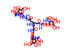 CNC(CCC(=O)NCNCOC1OC(CO)C(O)C(O)C1NC(C)=O)(CCC(=O)NCOCOC1OC(CO)C(O)C(O)C1NC(C)=O)CCC(=O)NCOCOC1OC(CO)C(O)C(O)C1NC(C)=O